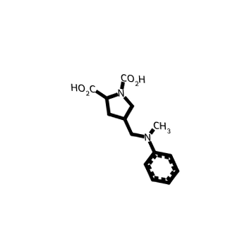 CN(CC1CC(C(=O)O)N(C(=O)O)C1)c1ccccc1